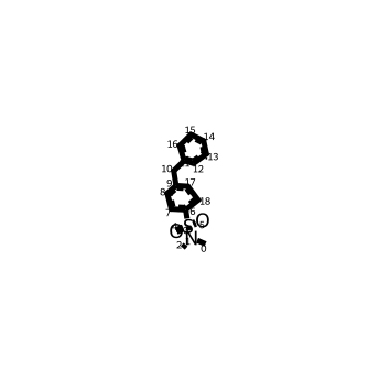 CN(C)S(=O)(=O)c1ccc(Cc2c[c]ccc2)cc1